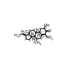 CC=C1CC[C@H]2[C@@H]3[C@H](C)CC4=C([N+](=O)[O-])C(=O)C(O)C[C@]4(C)[C@H]3CC[C@]12C